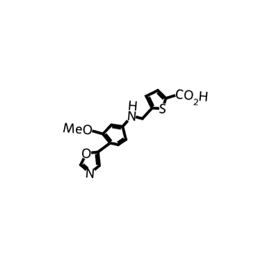 COc1cc(NCc2ccc(C(=O)O)s2)ccc1-c1cnco1